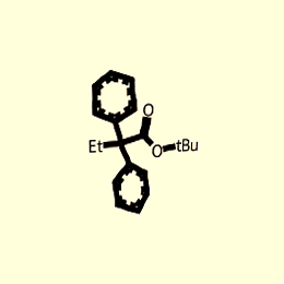 CCC(C(=O)OC(C)(C)C)(c1ccccc1)c1ccccc1